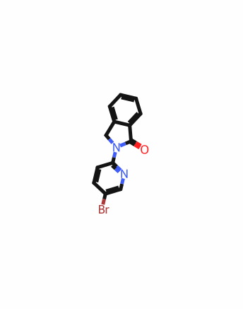 O=C1c2ccccc2CN1c1ccc(Br)cn1